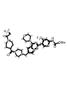 C=CC(=O)N1CCC(C(=O)N2CCN(Cc3cc4c(N5CCOCC5)nc(-c5cnc(NC(=O)OC)cc5C(F)(F)F)nn4c3)CC2)CC1